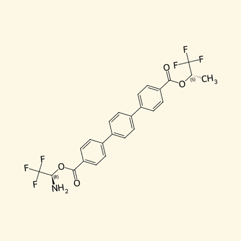 C[C@H](OC(=O)c1ccc(-c2ccc(-c3ccc(C(=O)O[C@@H](N)C(F)(F)F)cc3)cc2)cc1)C(F)(F)F